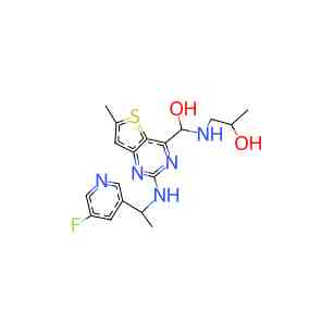 Cc1cc2nc(NC(C)c3cncc(F)c3)nc(C(O)NCC(C)O)c2s1